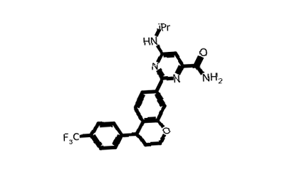 CC(C)Nc1cc(C(N)=O)nc(-c2ccc3c(c2)OCCC3c2ccc(C(F)(F)F)cc2)n1